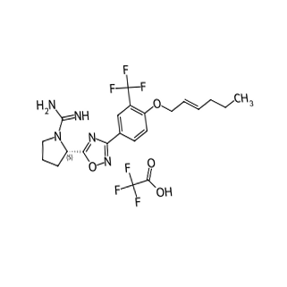 CCCC=CCOc1ccc(-c2noc([C@@H]3CCCN3C(=N)N)n2)cc1C(F)(F)F.O=C(O)C(F)(F)F